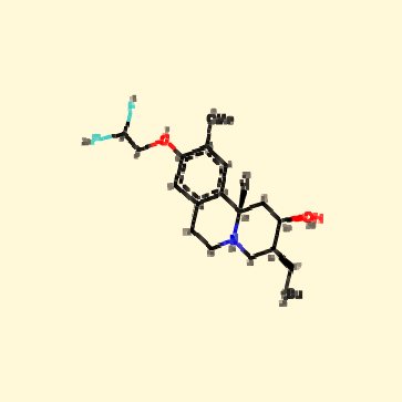 COc1cc2c(cc1OCC(F)F)CCN1C[C@H](CC(C)(C)C)[C@H](O)C[C@@H]21